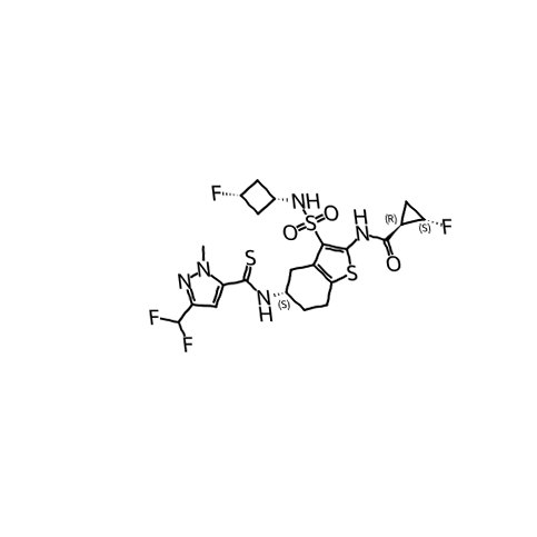 Cn1nc(C(F)F)cc1C(=S)N[C@H]1CCc2sc(NC(=O)[C@H]3C[C@@H]3F)c(S(=O)(=O)N[C@H]3C[C@@H](F)C3)c2C1